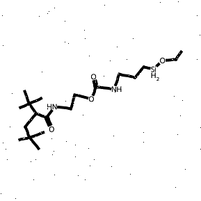 CCO[SiH2]CCCNC(=O)OCCNC(=O)C(CC(C)(C)C)C(C)(C)C